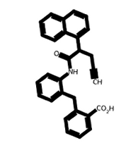 C#CCC(C(=O)Nc1ccccc1Cc1ccccc1C(=O)O)c1cccc2ccccc12